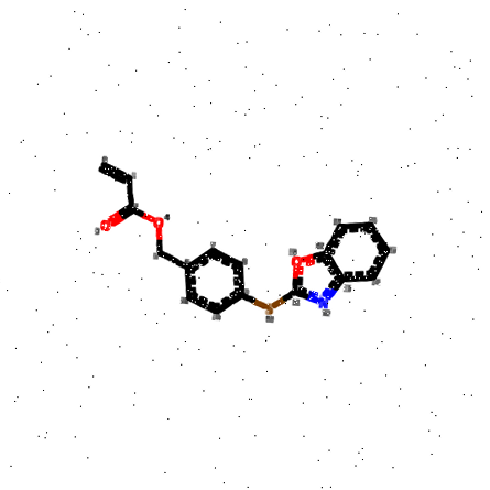 C=CC(=O)OCc1ccc(Sc2nc3ccccc3o2)cc1